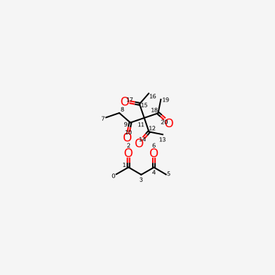 CC(=O)CC(C)=O.CCC(=O)C(C(C)=O)(C(C)=O)C(C)=O